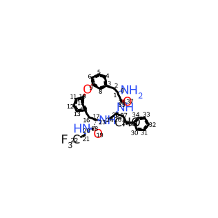 N[C@H]1Cc2cccc(c2)Oc2cccc(c2)C[C@@H](C(=O)NCC(F)(F)F)NC[C@@](C=O)(CCc2ccccc2)NC1=O